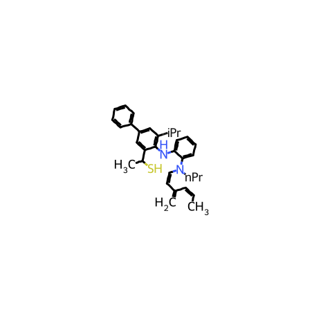 C=C(/C=C\C)/C=C\N(CCC)c1ccccc1Nc1c(C(C)C)cc(-c2ccccc2)cc1C(C)S